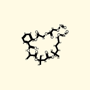 CC(OC(=O)c1ccccc1OC(=O)COC(=O)CON=O)C(=O)OC(C)(C)CC(=O)OC(C)(C)CCCCON=O